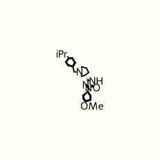 COc1ccc(-n2nc([C@H]3CCCN(Cc4ccc(C(C)C)cc4)C3)[nH]c2=O)cc1